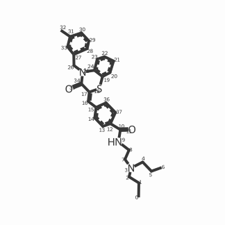 CCCN(CCC)CCNC(=O)c1ccc(C=C2Sc3ccccc3N(Cc3cccc(C)c3)C2=O)cc1